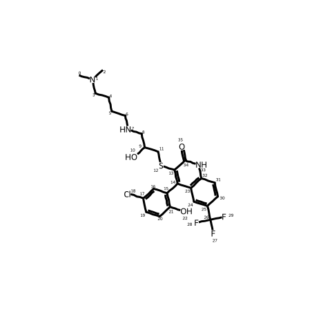 CN(C)CCCCNCC(O)CSc1c(-c2cc(Cl)ccc2O)c2cc(C(F)(F)F)ccc2[nH]c1=O